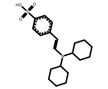 O=S(=O)(O)c1ccc(C=CN(C2CCCCC2)C2CCCCC2)cc1